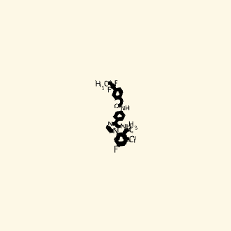 CCC(F)(F)c1ccc(CC(=O)Nc2ccc(-c3nccnc3NC(C)c3ccc(F)cc3Cl)cc2)cc1